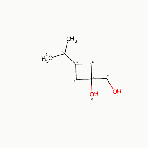 CC(C)C1CC(O)(CO)C1